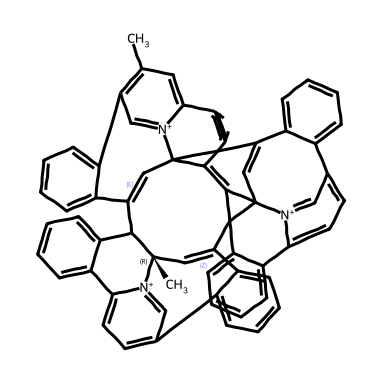 Cc1cc2[n+]3cc1-c1ccccc1/C1=C/C34C3=CC56C(=C4c4ccccc4-2)C5(/C2=C\[C@@]4(C)C1c1ccccc1-c1ccc(c[n+]14)-c1ccccc12)c1ccccc1-c1ccc(c[n+]16)-c1ccccc13